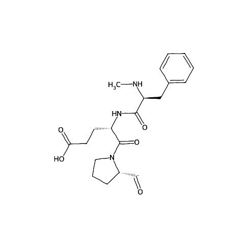 CN[C@@H](Cc1ccccc1)C(=O)N[C@@H](CCC(=O)O)C(=O)N1CCC[C@H]1[C]=O